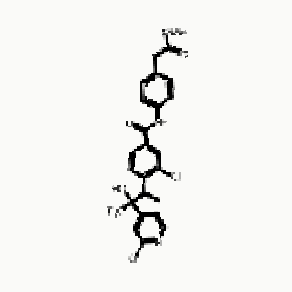 COC(=O)Cc1ccc(NC(=O)c2ccc(C(C)C(O)(c3ccnc(Cl)c3)C(F)(F)F)c(Cl)c2)cc1